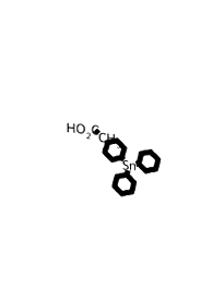 C1CC[CH]([Sn]([CH]2CCCCC2)[CH]2CCCCC2)CC1.CC(=O)O